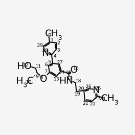 Cc1ccc(-c2cc(O[C@H](C)CO)cc(C(=O)NCCc3ccc(C)nc3)c2)nc1